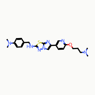 CN(C)CCCOc1ccc(-c2cn3nc(NCc4ccc(N(C)C)cc4)sc3n2)cn1